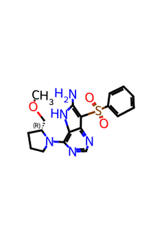 COC[C@H]1CCCN1c1ncnc2c(S(=O)(=O)c3ccccc3)c(N)[nH]c12